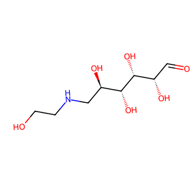 O=C[C@H](O)[C@@H](O)[C@H](O)[C@H](O)CNCCO